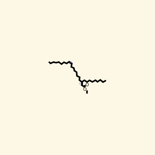 CCCCCCCC/C=C\CCCCCCC/C(=C/C(=O)OCC)CCCCCCCCC